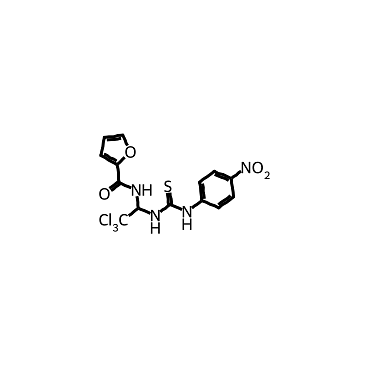 O=C(NC(NC(=S)Nc1ccc([N+](=O)[O-])cc1)C(Cl)(Cl)Cl)c1ccco1